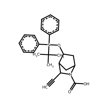 C#CC1C2CC(CC2O[Si](c2ccccc2)(c2ccccc2)C(C)(C)C)N1C(=O)O